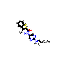 COCCN(C)c1ncc(NC(=O)c2sc3ccccc3c2C)cn1